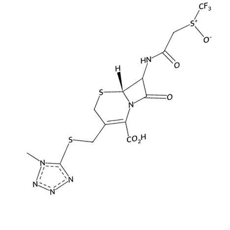 Cn1nnnc1SCC1=C(C(=O)O)N2C(=O)C(NC(=O)C[S+]([O-])C(F)(F)F)[C@H]2SC1